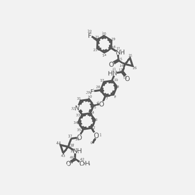 COc1cc2c(Oc3ccc(NC(=O)C4(C(=O)Nc5ccc(F)cc5)CC4)cc3F)ccnc2cc1OCC1(NC(=O)O)CC1